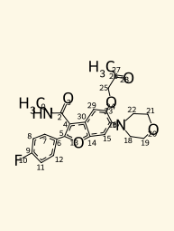 CNC(=O)c1c(-c2ccc(F)cc2)oc2cc(N3CCOCC3)c(OCC(C)=O)cc12